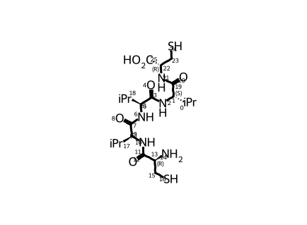 CC(C)[C@H](NC(=O)[C@@H](NC(=O)[C@@H](NC(=O)[C@@H](N)CS)C(C)C)C(C)C)C(=O)N[C@@H](CS)C(=O)O